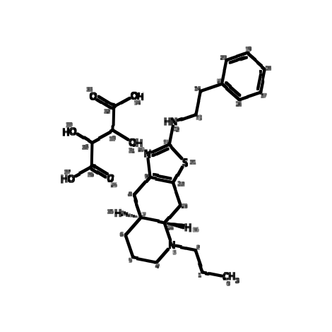 CCCN1CCC[C@H]2Cc3nc(NCCc4ccccc4)sc3C[C@@H]21.O=C(O)C(O)C(O)C(=O)O